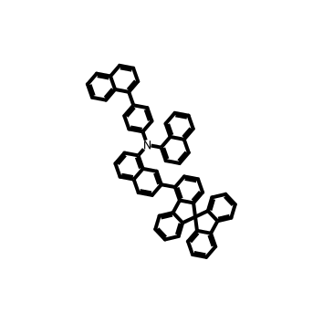 c1ccc2c(c1)-c1ccccc1C21c2ccccc2-c2c(-c3ccc4cccc(N(c5ccc(-c6cccc7ccccc67)cc5)c5cccc6ccccc56)c4c3)cccc21